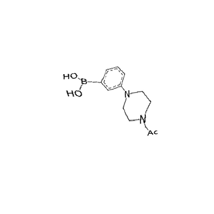 CC(=O)N1CCN(c2cccc(B(O)O)c2)CC1